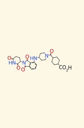 O=C1CCC(N2C(=O)c3cccc(NC4CCN(C(=O)C5CCC(C(=O)O)CC5)CC4)c3C2=O)C(=O)N1